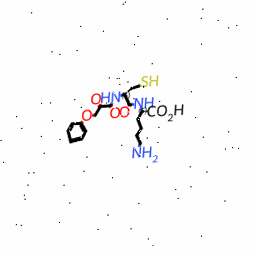 NCCCC[C@H](NC(=O)[C@H](CCS)NC(=O)C(=O)COc1ccccc1)C(=O)O